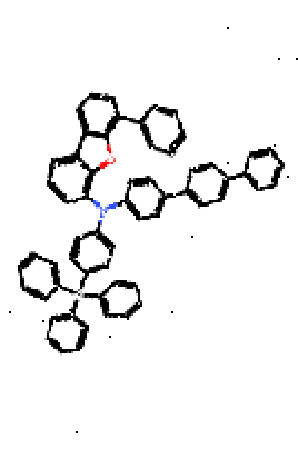 c1ccc(-c2ccc(-c3ccc(N(c4ccc([Si](c5ccccc5)(c5ccccc5)c5ccccc5)cc4)c4cccc5c4oc4c(-c6ccccc6)cccc45)cc3)cc2)cc1